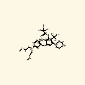 COCCN(CCOC)c1ccc2c(c1)Sc1cc(N3CCNCC3)c(C(F)(F)F)c(OC(=O)C(F)(F)F)c1N2